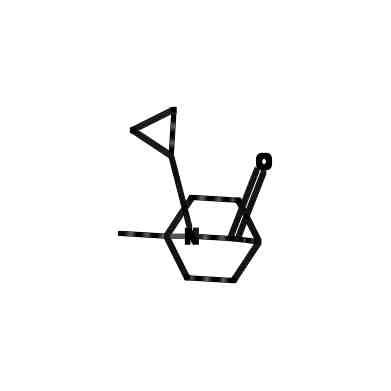 CC12CCC(CC1)C(=O)N2C1CC1